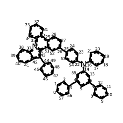 c1ccc(-c2cc(-c3ccccc3)cc(N(c3ccccc3)c3ccc(-c4ccc5c6ccccc6n6c7ccccc7c(-c7ccccc7)c6c5c4)cc3)c2)cc1